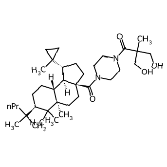 CCCC(C)(C)[C@H]1CC[C@@H]2[C@H]3[C@H](C4(C)CC4)CC[C@]3(C(=O)N3CCN(C(=O)C(C)(CO)CO)CC3)CC[C@@]2(C)C1(C)C